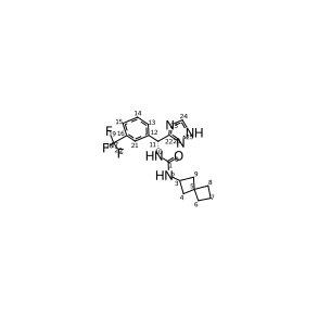 O=C(NC1CC2(CCC2)C1)N[C@H](c1cccc(C(F)(F)F)c1)c1nc[nH]n1